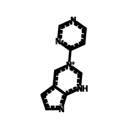 c1cc(-[n+]2c[nH]c3nccc-3c2)ncn1